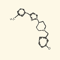 Cc1cccc(-c2ccn(C3CCN(Cc4cccc(Cl)c4)CC3)n2)c1